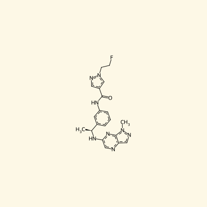 C[C@H](Nc1cnc2cnn(C)c2n1)c1cccc(NC(=O)c2cnn(CCF)c2)c1